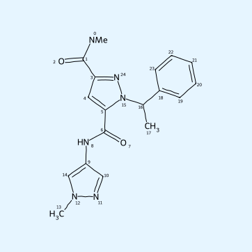 CNC(=O)c1cc(C(=O)Nc2cnn(C)c2)n(C(C)c2ccccc2)n1